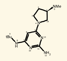 CN[C@@H]1CCN(c2cc(NC(C)(C)C)nc(N)n2)C1